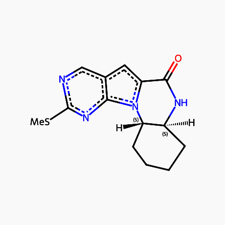 CSc1ncc2cc3n(c2n1)[C@H]1CCCC[C@@H]1NC3=O